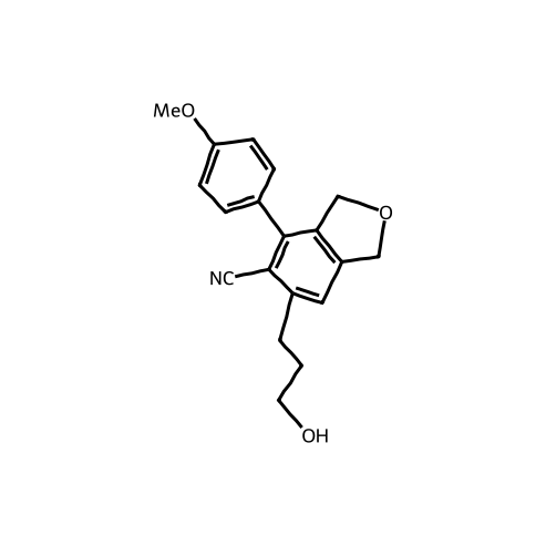 COc1ccc(-c2c(C#N)c(CCCO)cc3c2COC3)cc1